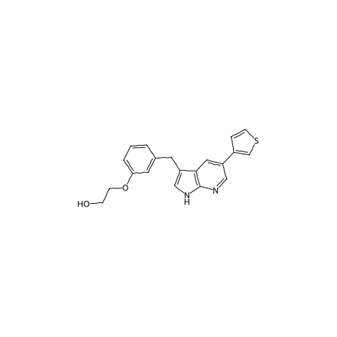 OCCOc1cccc(Cc2c[nH]c3ncc(-c4ccsc4)cc23)c1